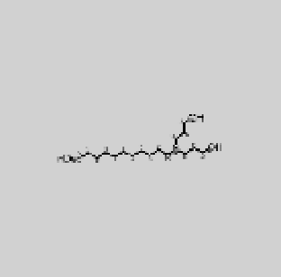 CCCCCCCCCCCCCCCCCCCCN(CCCO)CCCO